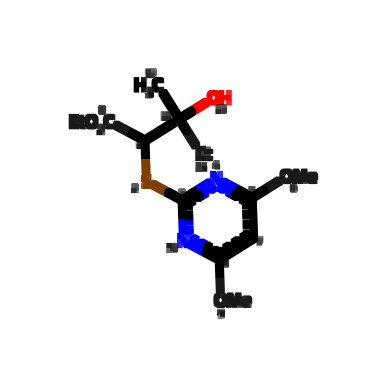 CCOC(=O)C(Sc1nc(OC)cc(OC)n1)C(C)(O)CC